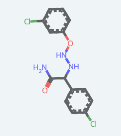 NC(=O)C(NNOc1cccc(Cl)c1)c1ccc(Cl)cc1